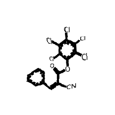 N#C/C(=C/c1ccccc1)C(=O)Oc1c(Cl)c(Cl)c(Cl)c(Cl)c1Cl